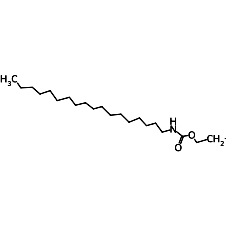 [CH2]COC(=O)NCCCCCCCCCCCCCCCCCC